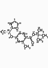 Cc1nc(O[C@H](C)c2ncco2)cnc1C(=O)OC(C)(C)C